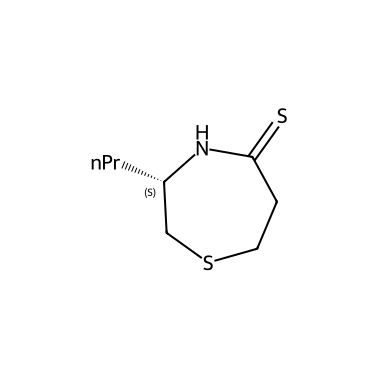 CCC[C@H]1CSCCC(=S)N1